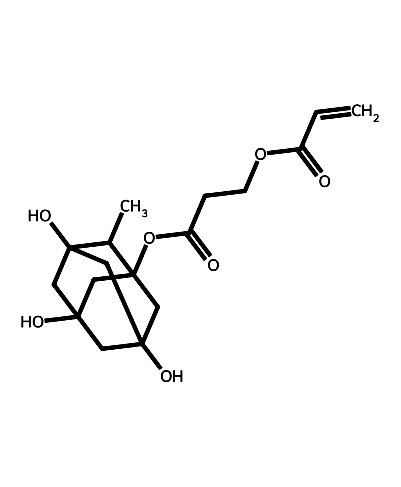 C=CC(=O)OCCC(=O)OC12CC3(O)CC(O)(CC(O)(C3)C1C)C2